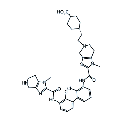 Cn1c(C(=O)Nc2cccc(-c3cccc(NC(=O)c4nc5c(n4C)CCN(CC[C@H]4CC[C@H](C(=O)O)CC4)C5)c3Cl)c2Cl)nc2c1CCNC2